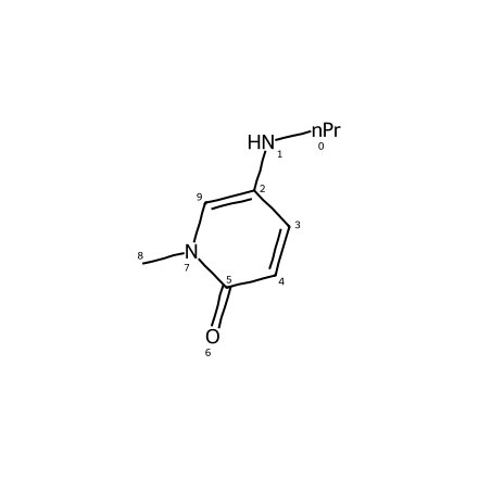 CCCNc1ccc(=O)n(C)c1